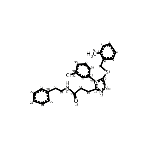 Cc1ccccc1CSc1nnc(CCC(=O)NCCc2ccccc2)n1-c1cccc(Cl)c1